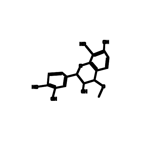 COC1c2ccc(O)c(O)c2OC(c2ccc(O)c(O)c2)C1O